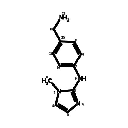 Cn1ccnc1Nc1ccc(CN)cc1